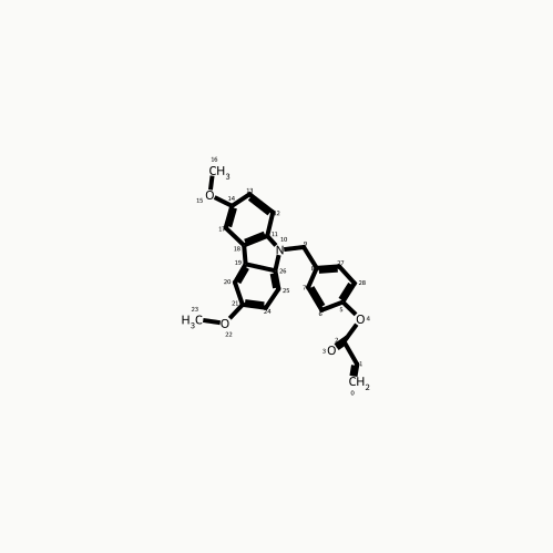 C=CC(=O)Oc1ccc(Cn2c3ccc(OC)cc3c3cc(OC)ccc32)cc1